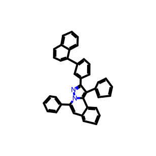 c1ccc(-c2c(-c3cccc(-c4cccc5ccccc45)c3)nn3c(-c4ccccc4)cc4ccccc4c23)cc1